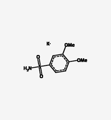 COc1ccc(S(N)(=O)=O)cc1OC.[K]